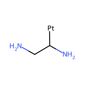 NC[CH](N)[Pt]